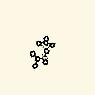 c1ccc(-c2cc(-c3ccccc3)cc(-c3nc(-c4ccc(-n5c6ccccc6c6c7ccccc7c7c8ccccc8sc7c65)cc4)nc4ccccc34)c2)cc1